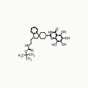 CC(C)(C)OC(=O)NCCN1CC2(CCN(c3nc4c(O)c(O)c(O)c(O)c4c(=O)[nH]3)CC2)c2ccccc21